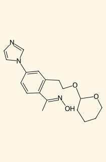 CC(=NO)c1ccc(-n2ccnc2)cc1CCOC1CCCCO1